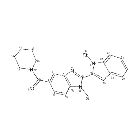 CCn1c(-c2nc3cc(C(=O)N4CCCCC4)ccc3n2C)cc2ccccc21